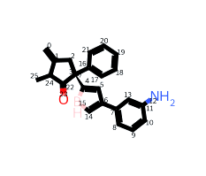 C=C1C[C@](C2=CC(c3cccc(N)c3)=CB2)(c2ccccc2)C(=O)C1C